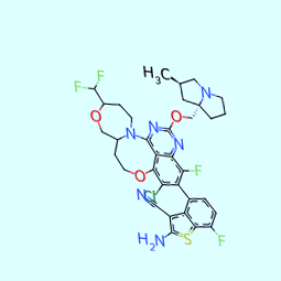 C[C@H]1CN2CCC[C@@]2(COc2nc3c4c(c(Cl)c(-c5ccc(F)c6sc(N)c(C#N)c56)c(F)c4n2)OCCC2COC(C(F)F)CCN32)C1